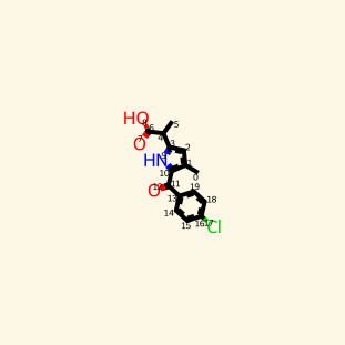 Cc1cc(C(C)C(=O)O)[nH]c1C(=O)c1ccc(Cl)cc1